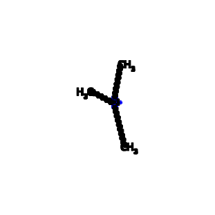 CCCCCCCCCCCCCCCCCCC[n+]1ccn(CCCCCCCCCCCCCCCC)c1CCCCCCCCCCC